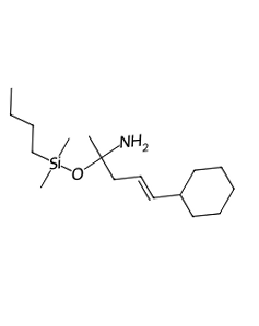 CCCC[Si](C)(C)OC(C)(N)CC=CC1CCCCC1